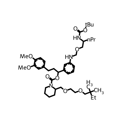 CCCC(COCNc1cccc(C(CCc2ccc(OC)c(OC)c2)OC(=O)N2CCCCC2COCCOCC(C)(C)CC)c1)NC(=O)OC(C)(C)C